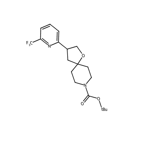 CC(C)(C)OC(=O)N1CCC2(CC1)CC(c1cccc(C(F)(F)F)n1)CO2